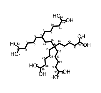 OC(O)CCCCC(CCCCC(O)O)CCC(CCCCC(O)O)(CCCCC(O)O)CCCCC(O)O